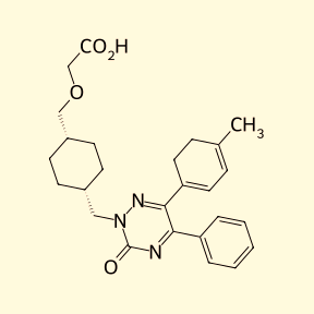 CC1=CC=C(c2nn(C[C@H]3CC[C@@H](COCC(=O)O)CC3)c(=O)nc2-c2ccccc2)CC1